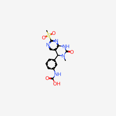 CN1C(=O)Nc2nc(S(C)(=O)=O)ncc2C1c1cccc(NC(=O)O)c1